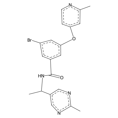 Cc1cc(Oc2cc(Br)cc(C(=O)NC(C)c3cnc(C)nc3)c2)ccn1